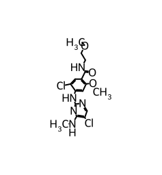 CNc1nc(Nc2cc(OC)c(C(=O)NCCOC)cc2Cl)ncc1Cl